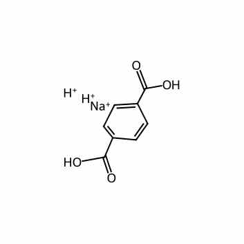 O=C(O)c1ccc(C(=O)O)cc1.[H+].[H+].[Na+]